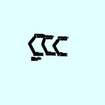 CCCCCCCCCCCC(=O)[O-].CCCCCCCCCCCC(=O)[O-].CCCCCCCCCCCC(=O)[O-].[Mn+3]